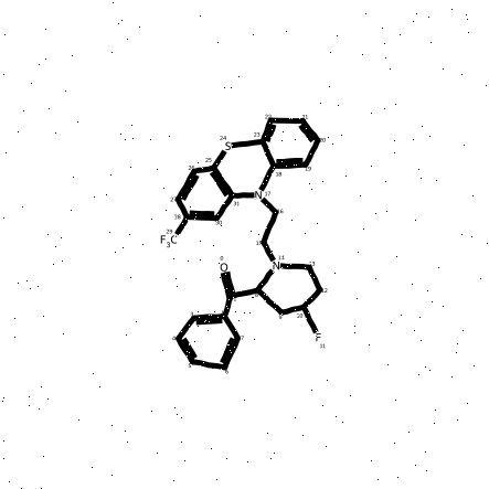 O=C(c1ccccc1)C1CC(F)CCN1CCN1c2ccccc2Sc2ccc(C(F)(F)F)cc21